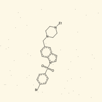 CCN1CCN(Cc2ccc3c(ccn3S(=O)(=O)c3ccc(Br)cc3)c2)CC1